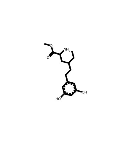 CCC(CCc1cc(O)cc(O)c1)CC(N)C(=O)OC